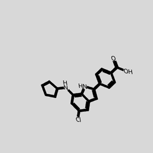 O=C(O)c1ccc(-c2cc3cc(Cl)cc(NC4CCCC4)c3[nH]2)cc1